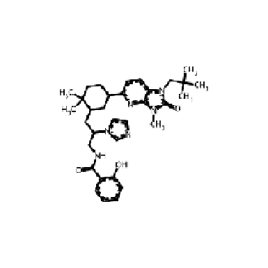 Cn1c(=O)n(CC(C)(C)C)c2ccc(C3CCC(C)(C)C(CC(CNC(=O)c4ccccc4O)n4ccnc4)C3)nc21